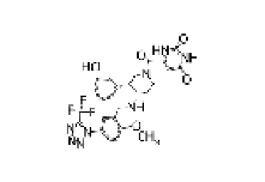 COc1ccc(-n2nnnc2C(F)(F)F)cc1CN[C@H]1CCN(C(=O)c2cc(=O)[nH]c(=O)[nH]2)C[C@H]1c1ccccc1.Cl